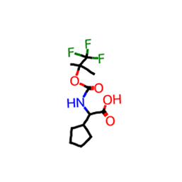 CC(C)(OC(=O)NC(C(=O)O)C1CCCC1)C(F)(F)F